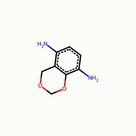 Nc1ccc(N)c2c1COCO2